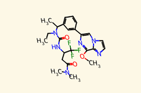 CCN(C(=O)NC(CC(=O)N(C)C)C(F)(F)F)C(C)c1cccc(-c2cn3ccnc3c(OC)n2)c1